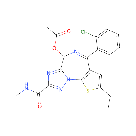 CCc1cc2c(s1)-n1nc(C(=O)NC)nc1C(OC(C)=O)N=C2c1ccccc1Cl